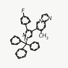 Cc1cc2nccn2cc1-c1cn(C(c2ccccc2)(c2ccccc2)c2ccccc2)nc1-c1ccc(F)cc1